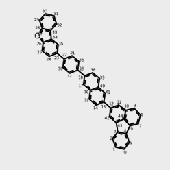 c1ccc2c(c1)-c1cccc3cc(-c4ccc5cc(-c6ccc(-c7ccc8oc9ccccc9c8c7)cc6)ccc5c4)cc-2c13